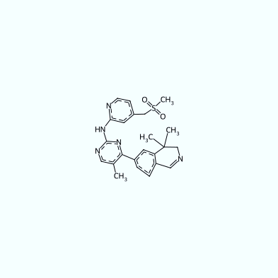 Cc1cnc(Nc2cc(CS(C)(=O)=O)ccn2)nc1-c1ccc2c(c1)C(C)(C)CN=C2